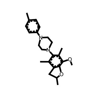 COc1c(C)c(N2CCN(c3ccc(C)cc3)CC2)c(C)c2c1OC(C)C2